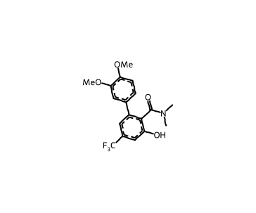 COc1ccc(-c2cc(C(F)(F)F)cc(O)c2C(=O)N(C)C)cc1OC